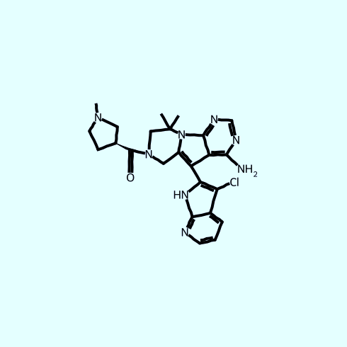 CN1CC[C@H](C(=O)N2Cc3c(-c4[nH]c5ncccc5c4Cl)c4c(N)ncnc4n3C(C)(C)C2)C1